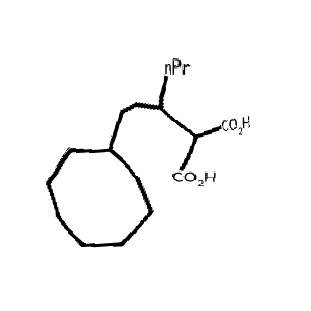 CCCC(CC1CCCCCCC1)C(C(=O)O)C(=O)O